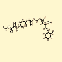 CCOC(=O)NNc1ccc(CNCCCN(C)CC(O)COc2ccccc2C)nn1